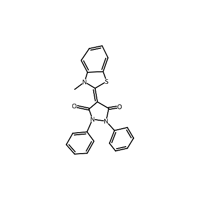 CN1C(=C2C(=O)N(c3ccccc3)N(c3ccccc3)C2=O)Sc2ccccc21